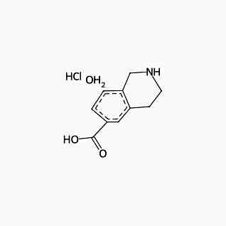 Cl.O.O=C(O)c1ccc2c(c1)CCNC2